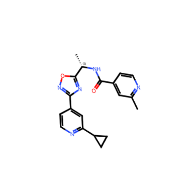 Cc1cc(C(=O)N[C@@H](C)c2nc(-c3ccnc(C4CC4)c3)no2)ccn1